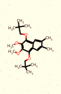 COc1c(OC)c(OCC(C)(C)C)c2cc(C)c(C)cc2c1OCC(C)(C)C